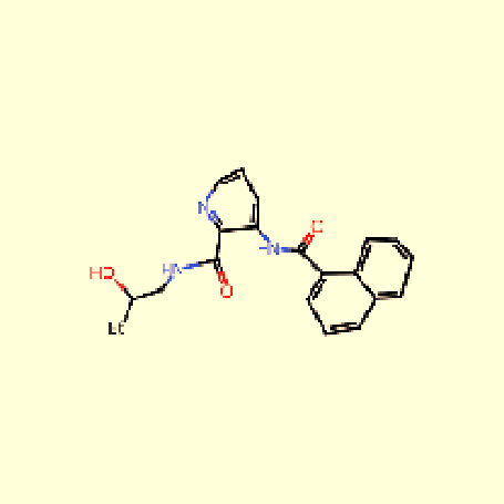 CCC(O)CNC(=O)c1ncccc1NC(=O)c1cccc2ccccc12